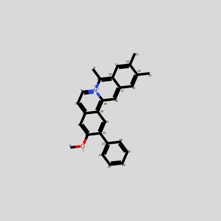 COc1cc2cc[n+]3c(C)c4cc(C)c(C)cc4cc3c2cc1-c1ccccc1